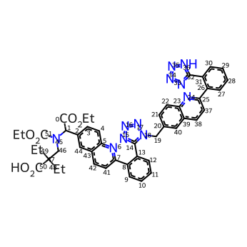 CCOC(=O)C(c1ccc2nc(-c3ccccc3-c3nnnn3Cc3ccc4nc(-c5ccccc5-c5nnn[nH]5)ccc4c3)ccc2c1)N(CC(CC)(CC)C(=O)O)C(=O)OCC